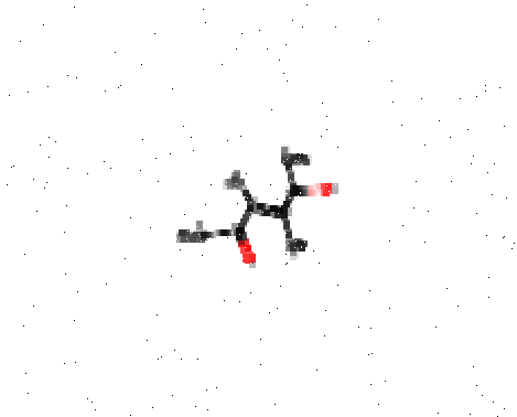 CCCC(C(=O)OC)=C(CCC)C(=O)OC